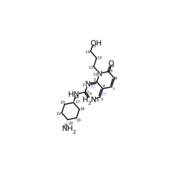 C=C(/N=C1\C(=C/N)C=CC(=O)N1CCCO)N[C@H]1CC[C@H](N)CC1